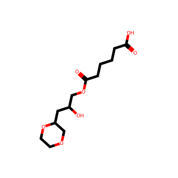 O=C(O)CCCCC(=O)OCC(O)CC1COCCO1